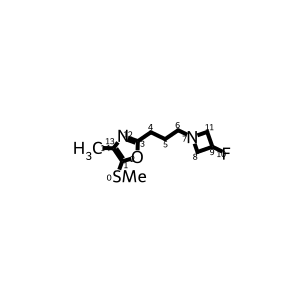 CSc1oc(CCCN2CC(F)C2)nc1C